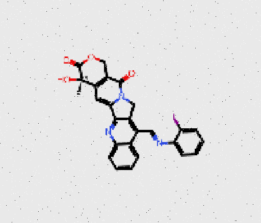 CC[C@@]1(O)C(=O)OCc2c1cc1n(c2=O)Cc2c-1nc1ccccc1c2C=Nc1ccccc1I